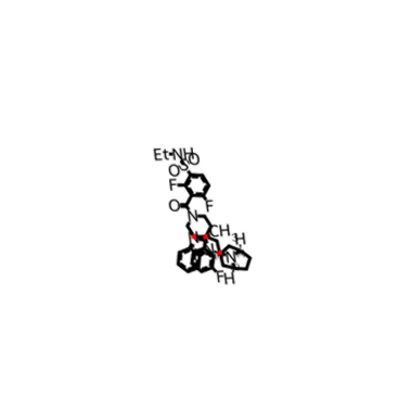 CCNS(=O)(=O)c1ccc(F)c(C(=O)N2CCC(CCN3[C@@H]4CC[C@H]3C[C@@H](n3c(C)nc5ccccc53)C4)(c3cccc(F)c3)CC2)c1F